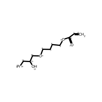 C=CC(=O)OCCCCOCC(O)CC(C)C